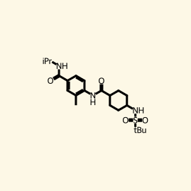 Cc1cc(C(=O)NC(C)C)ccc1NC(=O)C1CCC(NS(=O)(=O)C(C)(C)C)CC1